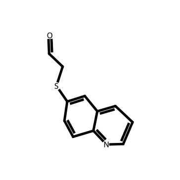 O=CCSc1ccc2ncccc2c1